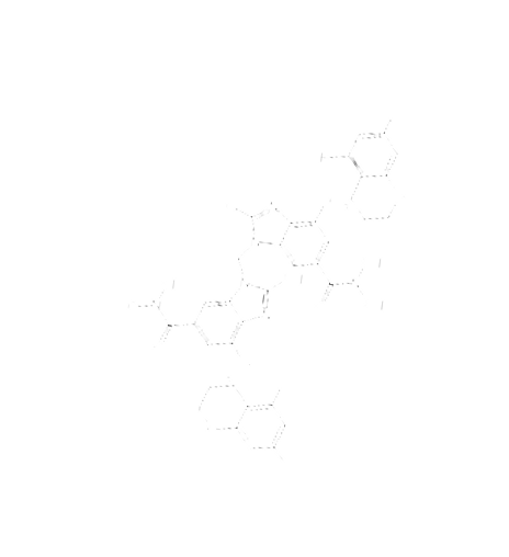 Cc1nc2c(O[C@H]3CCOc4cc(F)cc(F)c43)cc(C(=O)N(C)C)cc2n1Cn1c(C)nc2c(O[C@H]3CCOc4cc(F)cc(F)c43)cc(C(=O)N(C)C)cc21